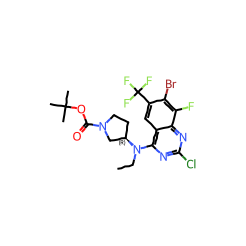 CCN(c1nc(Cl)nc2c(F)c(Br)c(C(F)(F)F)cc12)[C@@H]1CCN(C(=O)OC(C)(C)C)C1